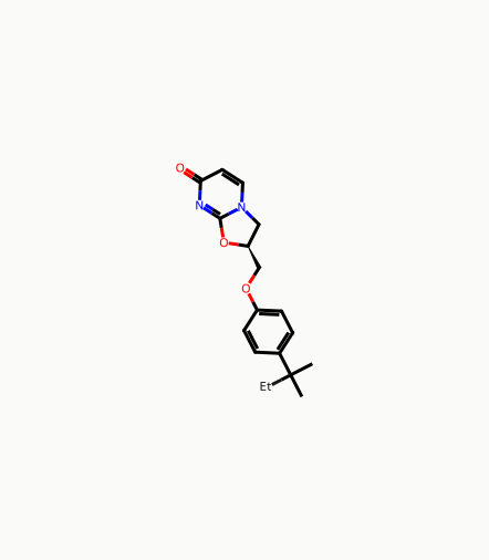 CCC(C)(C)c1ccc(OC[C@@H]2Cn3ccc(=O)nc3O2)cc1